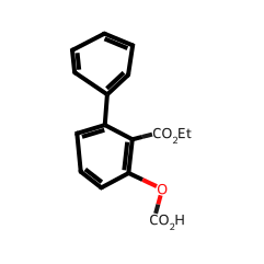 CCOC(=O)c1c(OC(=O)O)cccc1-c1ccccc1